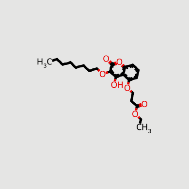 CCCCCCCCOc1c(O)c2c(OCCC(=O)OCC)cccc2oc1=O